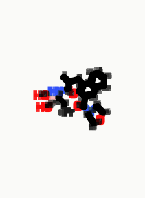 CC(C)C[C@H](NC(=O)C(C)Cc1cc(C(=O)N2CCOCC2)cc2ccccc12)B(O)O